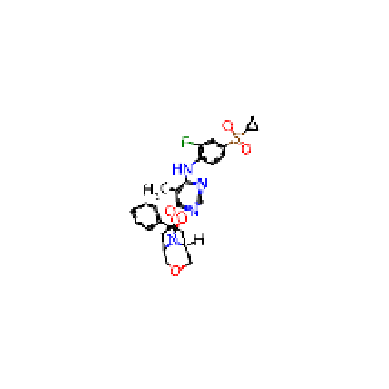 Cc1c(Nc2ccc(S(=O)(=O)C3CC3)cc2F)ncnc1OC1CC2COC[C@@H](C1)N2C(=O)c1ccccc1